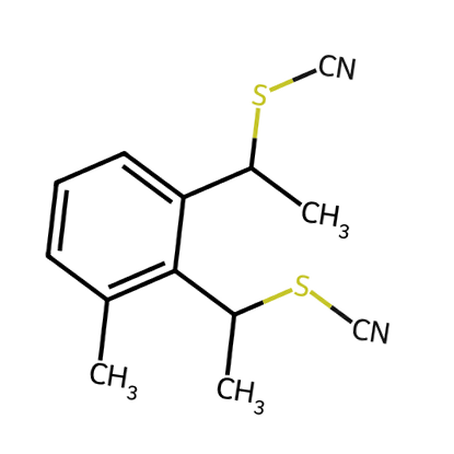 Cc1cccc(C(C)SC#N)c1C(C)SC#N